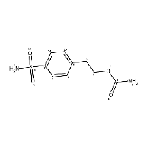 NC(=O)OCCc1ccc(S(N)(=O)=O)cc1